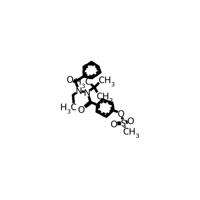 CCN(C(=O)c1ccccc1)N(C(=O)c1ccc(OS(C)(=O)=O)cc1)C(C)(C)C